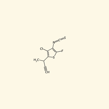 C#CC(C)c1sc(F)c(N=C=S)c1Cl